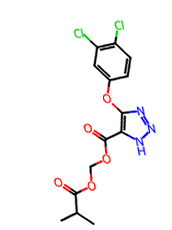 CC(C)C(=O)OCOC(=O)c1[nH]nnc1Oc1ccc(Cl)c(Cl)c1